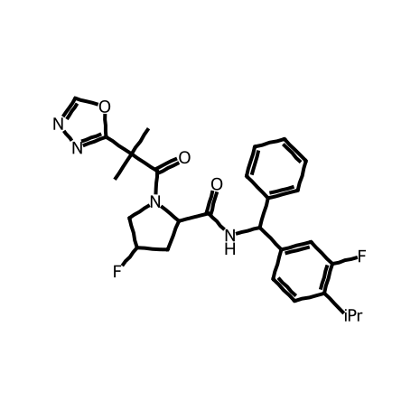 CC(C)c1ccc(C(NC(=O)C2CC(F)CN2C(=O)C(C)(C)c2nnco2)c2ccccc2)cc1F